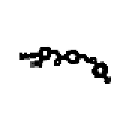 COc1ccc(CC(=O)N2CCC(CCOc3ccc(Cl)cc3)CC2)cc1O